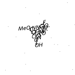 COc1cnc2c(-c3nc4cc(F)c(O[C@@H](C)[C@@H](C)OC(=O)Nc5ccc(OCCO)nc5)nc4s3)cc(Cl)cc2c1